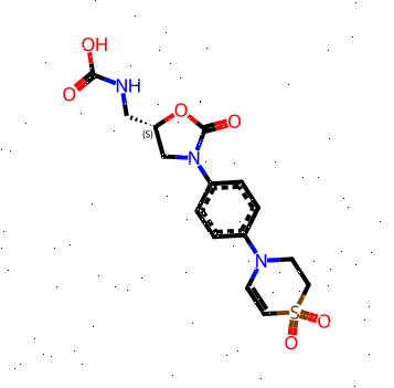 O=C(O)NC[C@H]1CN(c2ccc(N3C=CS(=O)(=O)CC3)cc2)C(=O)O1